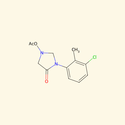 CC(=O)ON1CC(=O)N(c2cccc(Cl)c2C)C1